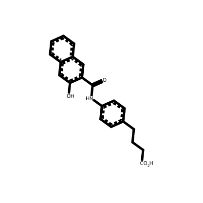 O=C(O)CCCc1ccc(NC(=O)c2cc3ccccc3cc2O)cc1